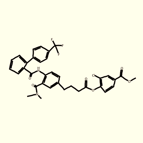 COC(=O)c1ccc(OC(=O)CCCc2ccc(NC(=O)c3ccccc3-c3ccc(C(F)(F)F)cc3)c(C(=O)N(C)C)c2)c(Cl)c1